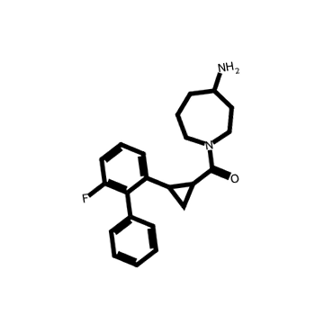 NC1CCCN(C(=O)C2CC2c2cccc(F)c2-c2ccccc2)CC1